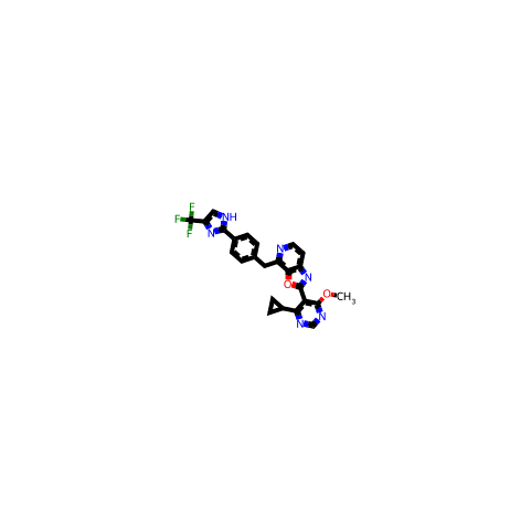 COc1ncnc(C2CC2)c1-c1nc2ccnc(Cc3ccc(-c4nc(C(F)(F)F)c[nH]4)cc3)c2o1